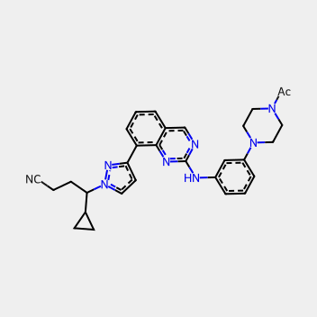 CC(=O)N1CCN(c2cccc(Nc3ncc4cccc(-c5ccn(C(CCC#N)C6CC6)n5)c4n3)c2)CC1